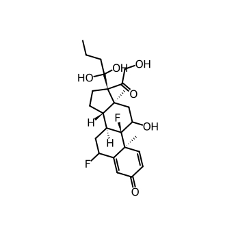 CCCC(O)(O)[C@]1(C(=O)CO)CC[C@H]2[C@@H]3CC(F)C4=CC(=O)C=C[C@]4(C)[C@@]3(F)C(O)C[C@@]21C